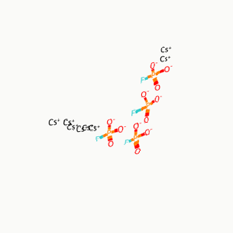 O=P([O-])([O-])F.O=P([O-])([O-])F.O=P([O-])([O-])F.O=P([O-])([O-])F.[Cs+].[Cs+].[Cs+].[Cs+].[Cs+].[Cs+].[Cs+].[Cs+]